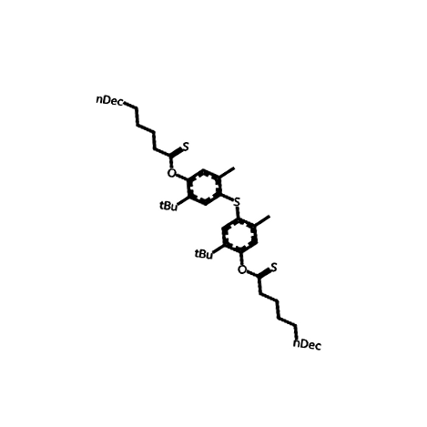 CCCCCCCCCCCCCCC(=S)Oc1cc(C)c(Sc2cc(C(C)(C)C)c(OC(=S)CCCCCCCCCCCCCC)cc2C)cc1C(C)(C)C